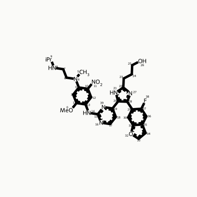 COc1cc(N(C)CCNC(C)C)c([N+](=O)[O-])cc1Nc1nccc(-c2[nH]c(CCCO)nc2-c2cc3occc3cc2F)n1